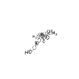 CC(C)(C)c1cccc(C(=O)Nc2cc3cn([C@H]4CC[C@H](CO)CC4)nc3cc2C(C)(C)O)n1